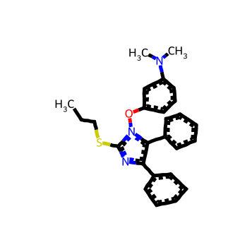 CCCSc1nc(-c2ccccc2)c(-c2ccccc2)n1Oc1cccc(N(C)C)c1